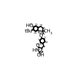 CC1(COc2ccc(CC3SC(O)NC3=O)cc2)CCc2cc(O)c(C(C)(C)C)cc2O1